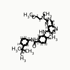 COCCN(C)c1ncc2ncnc(Nc3cc(C(=O)Nc4cccc(C(C)(C)C)c4)ccc3C)c2n1